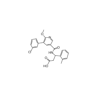 COc1ncc(C(=O)NC(CC(=O)O)c2ccccc2C)cc1-c1cccc(Cl)c1